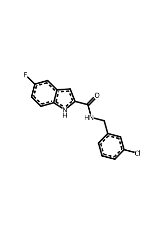 O=C(NCc1cccc(Cl)c1)c1cc2cc(F)ccc2[nH]1